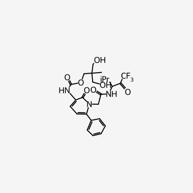 CC(C)C(NC(=O)Cn1c(-c2ccccc2)ccc(NC(=O)OCC(C)(CO)CO)c1=O)C(=O)C(F)(F)F